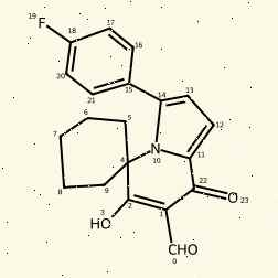 O=CC1=C(O)C2(CCCCC2)n2c(ccc2-c2ccc(F)cc2)C1=O